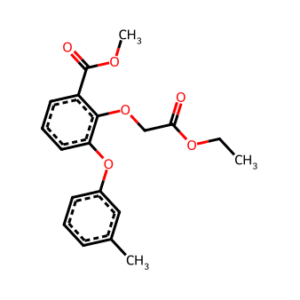 CCOC(=O)COc1c(Oc2cccc(C)c2)cccc1C(=O)OC